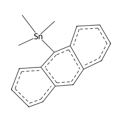 [CH3][Sn]([CH3])([CH3])[c]1c2ccccc2cc2ccccc12